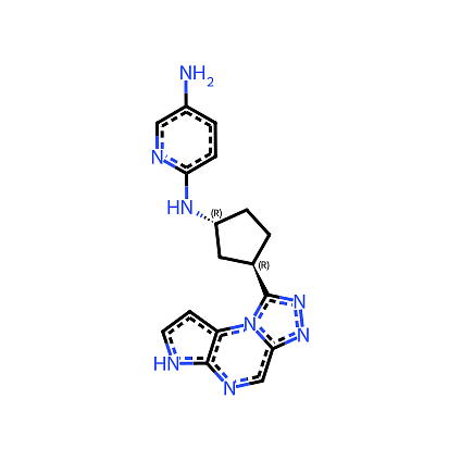 Nc1ccc(N[C@@H]2CC[C@@H](c3nnc4cnc5[nH]ccc5n34)C2)nc1